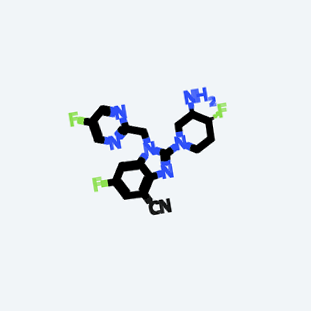 N#Cc1cc(F)cc2c1nc(N1CC[C@@H](F)[C@H](N)C1)n2Cc1ncc(F)cn1